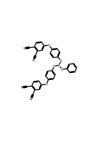 N#Cc1ccc(Oc2ccc(OP(Oc3ccccc3)Oc3ccc(Oc4ccc(C#N)c(C#N)c4)cc3)cc2)cc1C#N